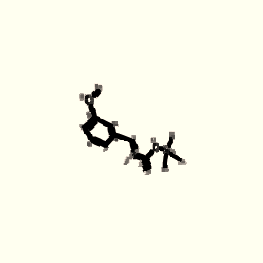 C=C(/N=C/c1cccc(OC)c1)O[Si](C)(C)C